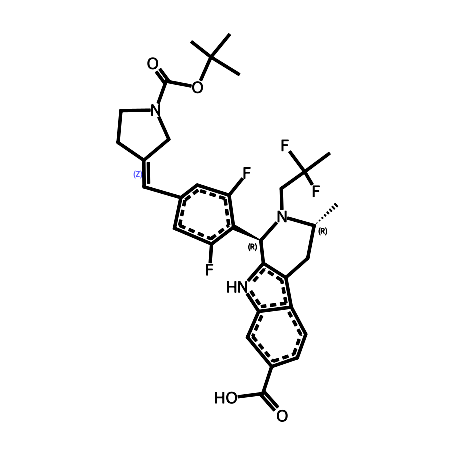 C[C@@H]1Cc2c([nH]c3cc(C(=O)O)ccc23)[C@@H](c2c(F)cc(/C=C3/CCN(C(=O)OC(C)(C)C)C3)cc2F)N1CC(C)(F)F